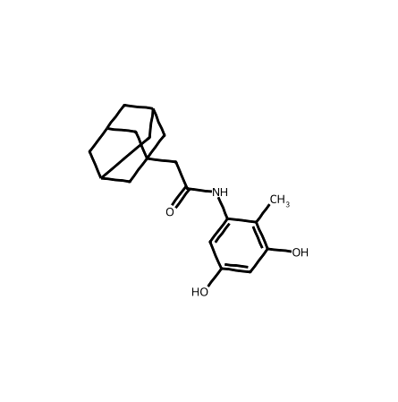 Cc1c(O)cc(O)cc1NC(=O)CC12CC3CC(CC(C3)C1)C2